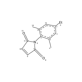 CCc1cc(C)c(N2C(=O)C=CC2=O)c(C)c1